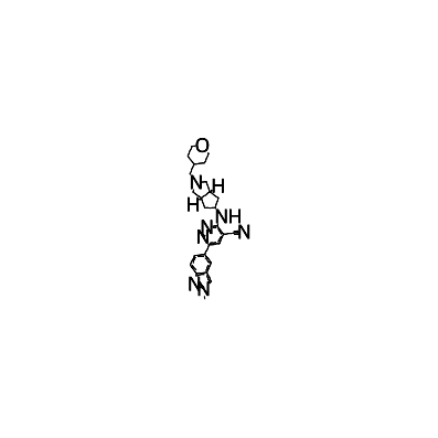 Cn1cc2cc(-c3cc(C#N)c(NC4C[C@@H]5CN(CC6CCOCC6)C[C@@H]5C4)nn3)ccc2n1